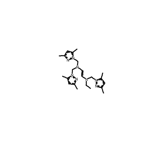 CCN(C=CN(Cn1nc(C)cc1C)Cn1nc(C)cc1C)Cn1nc(C)cc1C